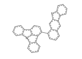 c1cc(-c2ccc3c4ccccc4n4c5ccccc5c2c34)c2cc3sc4ccccc4c3cc2c1